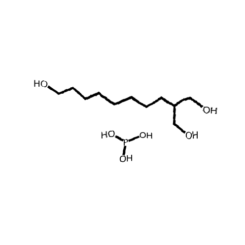 OCCCCCCCCC(CO)CO.OP(O)O